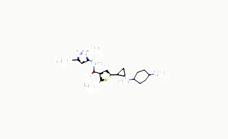 Cc1cc(NC(=O)c2cc(C3CC3NC3CCC(N)CC3)sc2C)n(C)n1